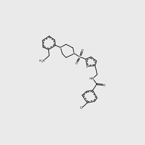 NCc1ccccc1N1CCN(S(=O)(=O)c2ccc(CNC(=O)c3ccc(Cl)cc3)s2)CC1